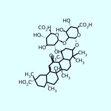 CC1(C)C(O[C@H]2O[C@H](C(=O)O)[C@@H](O)[C@H](O)C2O[C@@H]2O[C@H](C(=O)O)[C@@H](O)[C@H](O)[C@H]2O)CC[C@@]2(C)C1CC[C@]1(C)C2C(=O)C=C2C3C[C@@](C)(C(=O)O)CC[C@]3(C)CC[C@]21C